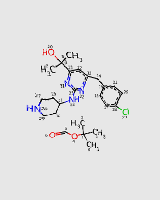 CC(C)(C)OC=O.CC(C)(O)c1cc(Cc2ccc(Cl)cc2)nc(NC2CCNCC2)n1